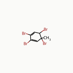 CC1(Br)C=C(Br)C(Br)=CC1Br